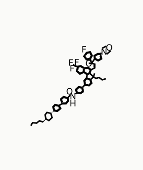 CCCCC[C@H]1CC[C@H](c2ccc(-c3ccc(C(=O)Nc4ccc(-c5ccc6c(c5)-c5c(c7c(c8cc(C(F)(F)F)ccc58)OC(c5ccc(F)cc5)(c5ccc(N8CCOCC8)cc5)C=C7)C6(C)CCCC)cc4)cc3)cc2)CC1